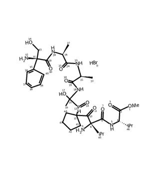 Br.COC(=O)[C@@H](NC(=O)[C@](N)(C(=O)C1([PH](=O)C(C)(O)NC(=O)[C@H](C)NC(=O)[C@H](C)NC(=O)[C@@](N)(CO)c2ccccc2)CCCC1)C(C)C)C(C)C